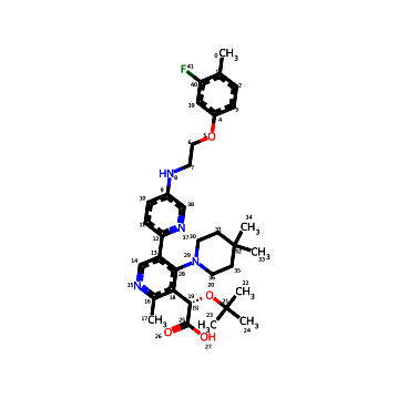 Cc1ccc(OCCNc2ccc(-c3cnc(C)c([C@H](OC(C)(C)C)C(=O)O)c3N3CCC(C)(C)CC3)nc2)cc1F